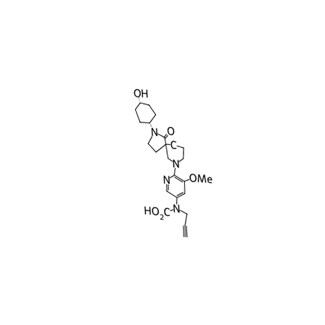 C#CCN(C(=O)O)c1cnc(N2CCCC3(CCN([C@H]4CC[C@@H](O)CC4)C3=O)C2)c(OC)c1